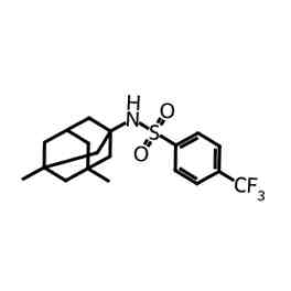 CC12CC3CC(C)(C1)CC(NS(=O)(=O)c1ccc(C(F)(F)F)cc1)(C3)C2